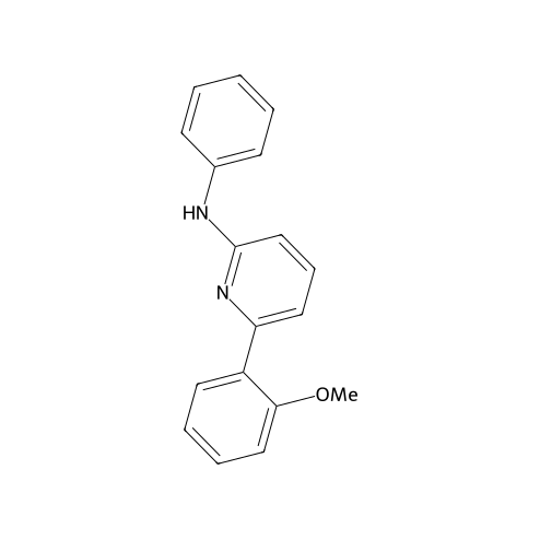 COc1ccccc1-c1cccc(Nc2ccccc2)n1